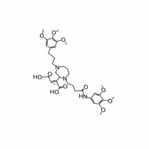 COc1cc(CCCN2CCCN(CCCC(=O)Nc3cc(OC)c(OC)c(OC)c3)C(/C(=C\C(=O)O)C(=O)O)C2)cc(OC)c1OC